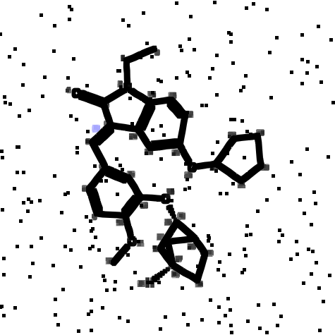 CCN1C(=O)/C(=C/c2ccc(OC)c(O[C@H]3C[C@@H]4CCC3C4)c2)c2cc(OC3CCCC3)ccc21